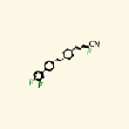 N#CC(F)=CC=C[C@H]1CC[C@H](CC[C@H]2CC[C@H](c3ccc(F)c(F)c3)CC2)CC1